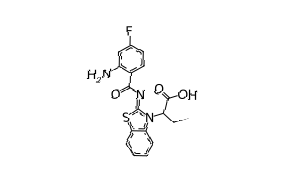 CCC(C(=O)O)n1/c(=N/C(=O)c2ccc(F)cc2N)sc2ccccc21